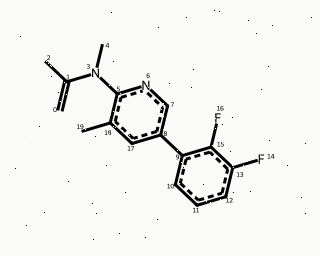 C=C(C)N(C)c1ncc(-c2cccc(F)c2F)cc1C